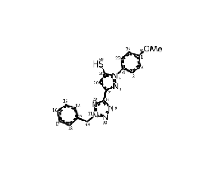 COc1ccc(-n2nc(-c3nnn(Cc4ccccc4)n3)cc2S)cc1